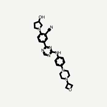 N#Cc1cc(-c2ncnc(Nc3ccc(N4CCN(C5COC5)CC4)cc3)n2)ccc1N1CCC(O)C1